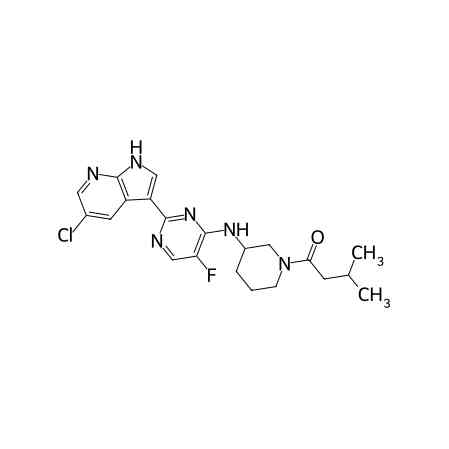 CC(C)CC(=O)N1CCCC(Nc2nc(-c3c[nH]c4ncc(Cl)cc34)ncc2F)C1